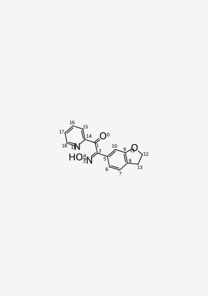 O=C(/C(=N\O)c1ccc2c(c1)OCC2)c1ccccn1